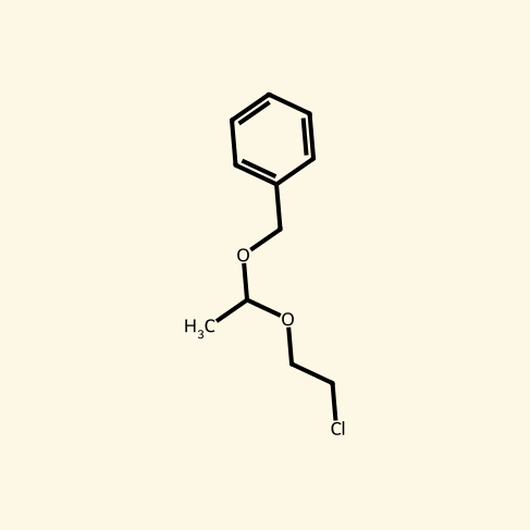 CC(OCCCl)OCc1ccccc1